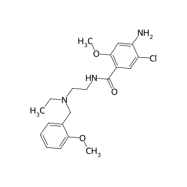 CCN(CCNC(=O)c1cc(Cl)c(N)cc1OC)Cc1ccccc1OC